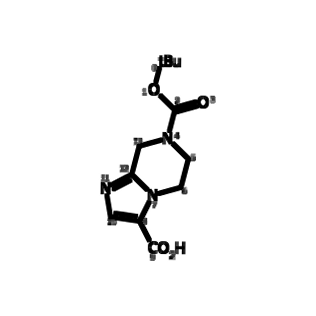 CC(C)(C)OC(=O)N1CCn2c(C(=O)O)cnc2C1